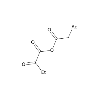 CCC(=O)C(=O)OC(=O)CC(C)=O